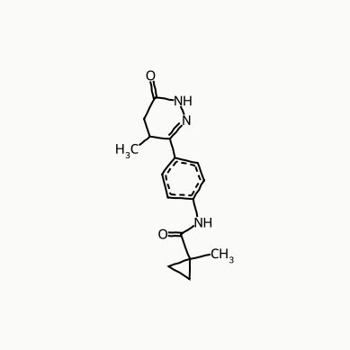 CC1CC(=O)NN=C1c1ccc(NC(=O)C2(C)CC2)cc1